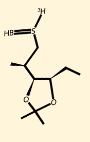 [3H]S(=B)C[C@H](C)[C@@H]1OC(C)(C)O[C@@H]1CC